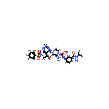 CC(C)NC(=O)c1cccc(NC(=O)N2CCN(c3ncnc4c3c(Br)cn4S(=O)(=O)c3ccccc3)C[C@@H]2C)c1